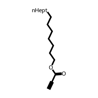 C#CC(=O)OCCCCCCCCCCCCCC